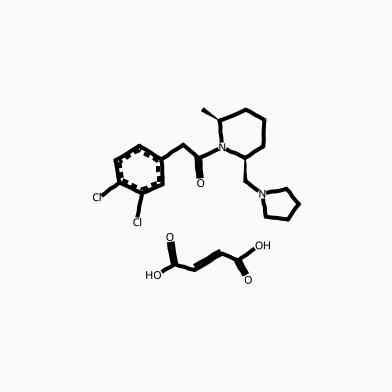 C[C@H]1CCC[C@@H](CN2CCCC2)N1C(=O)Cc1ccc(Cl)c(Cl)c1.O=C(O)C=CC(=O)O